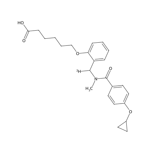 [2H]C(c1ccccc1OCCCCCC(=O)O)N(C)C(=O)c1ccc(OC2CC2)cc1